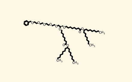 CCCCCCCCC(CCCCCCCC)OC(=O)CCCCCCCOC[C@H](COCCOCCOCCOCCOCc1ccccc1)OCCCCCCCC(=O)OC(CCCCCCCC)CCCCCCCC